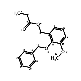 CCC(=O)OCc1cccc(OC)c1OCc1ccccc1